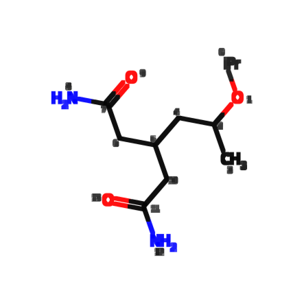 CC(C)OC(C)CC(CC(N)=O)CC(N)=O